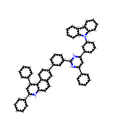 c1ccc(-c2cc(-c3cccc(-n4c5ccccc5c5ccccc54)c3)nc(-c3cccc(-c4ccc5c(ccc6nc(-c7ccccc7)cc(-c7ccccc7)c65)c4)c3)n2)cc1